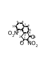 O=C1Cc2c(ccc3cccc([N+](=O)[O-])c23)C(=O)C1[N+](=O)[O-]